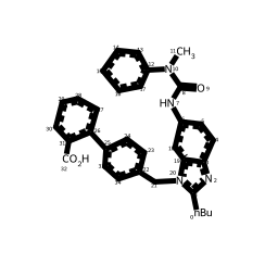 CCCCc1nc2ccc(NC(=O)N(C)c3ccccc3)cc2n1Cc1ccc(-c2ccccc2C(=O)O)cc1